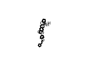 CC[C@@H](c1ccccc1)N1Cc2cc3c(cc2C[C@H]1C(=O)O)OC[C@H](c1ccc(OCCC2CCCC2)cc1)O3